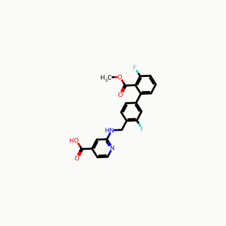 COC(=O)c1c(F)cccc1-c1ccc(CNc2cc(C(=O)O)ccn2)c(F)c1